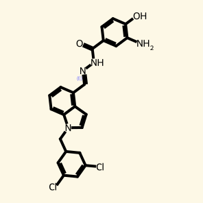 Nc1cc(C(=O)N/N=C/c2cccc3c2ccn3CC2C=C(Cl)C=C(Cl)C2)ccc1O